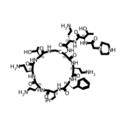 CC(C)C[C@@H]1NC(=O)[C@@H](Cc2ccccc2)NC(=O)[C@H](CCN)NC(=O)[C@@H](NC(=O)[C@H](CCN)NC(=O)[C@@H](NC(=O)CN2CCNCC2)C(C)O)CCNC(=O)[C@H](C(C)O)NC(=O)[C@H](CCN)NC(=O)[C@H](CCN)NC1=O